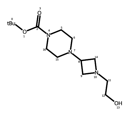 CC(C)(C)OC(=O)N1CCN(C2CN(CCO)C2)CC1